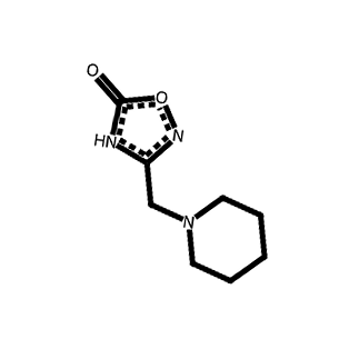 O=c1[nH]c(CN2CCCCC2)no1